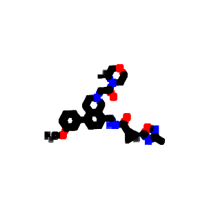 Cc1noc([C@@H]2CC2C(=O)NCc2ccc(-c3cccc(OC(F)(F)F)c3)c3c2CN(CC(=O)N2CCOC[C@H]2C)CC3)n1